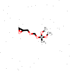 CO[Si](C)(OC)OCOCC1CO1